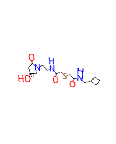 O=C(CSCC(=O)NCC1CCC1)NCCN1C[C@@H](O)CC1=O